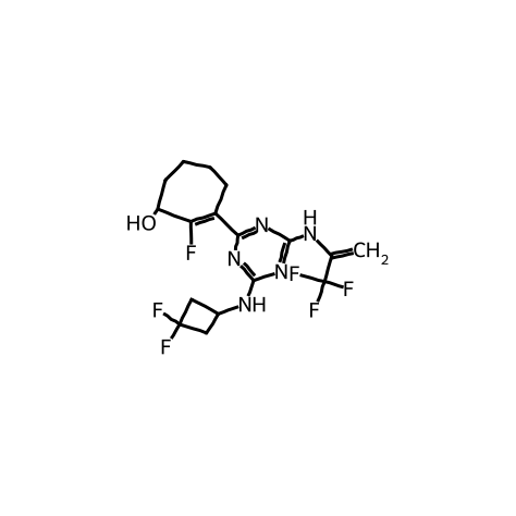 C=C(Nc1nc(NC2CC(F)(F)C2)nc(C2=C(F)C(O)CCCC2)n1)C(F)(F)F